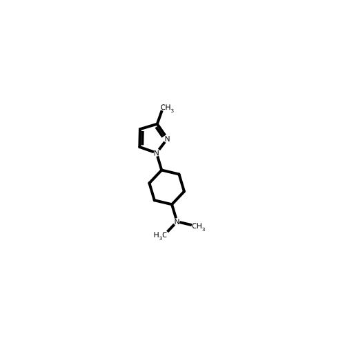 Cc1ccn(C2CCC(N(C)C)CC2)n1